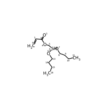 C=CC(=O)OC[SiH](OCCCC)OCCCC